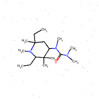 CCC1N(C)C(C)(CC)CC(N(C)C(=O)N(C)C)C1(C)C